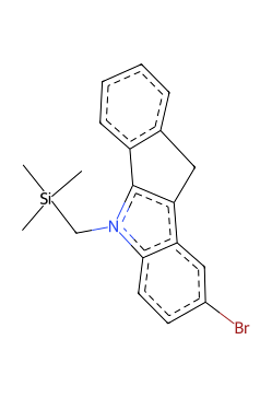 C[Si](C)(C)Cn1c2c(c3cc(Br)ccc31)Cc1ccccc1-2